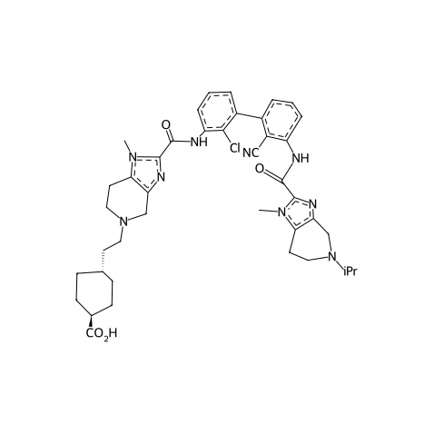 CC(C)N1CCc2c(nc(C(=O)Nc3cccc(-c4cccc(NC(=O)c5nc6c(n5C)CCN(CC[C@H]5CC[C@H](C(=O)O)CC5)C6)c4Cl)c3C#N)n2C)C1